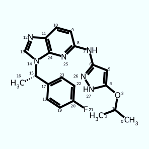 CC(C)Oc1cc(Nc2ccc3ncn([C@@H](C)c4ccc(F)cc4)c3n2)n[nH]1